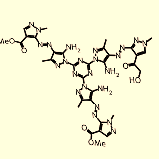 COC(=O)c1cnn(C)c1/N=N/c1c(C)nn(-c2nc(-n3nc(C)c(/N=N/c4nn(C)cc4C(=O)CO)c3N)nc(-n3nc(C)c(/N=N/c4c(C(=O)OC)cnn4C)c3N)n2)c1N